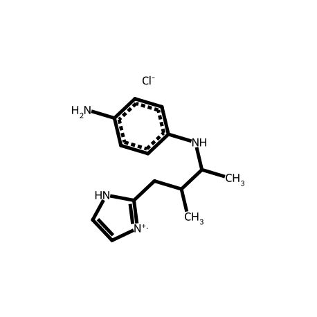 CC(CC1=[N+]C=CN1)C(C)Nc1ccc(N)cc1.[Cl-]